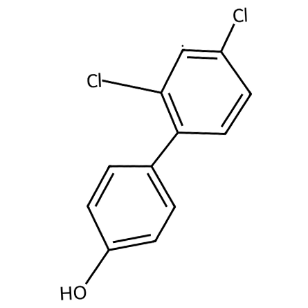 Oc1ccc(-c2ccc(Cl)[c]c2Cl)cc1